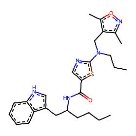 CCCCC(Cc1c[nH]c2ccccc12)NC(=O)c1cnc(N(CCC)Cc2c(C)noc2C)s1